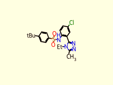 CCn1c(C)nnc1-c1cc(Cl)ccc1NS(=O)(=O)c1ccc(C(C)(C)C)cc1